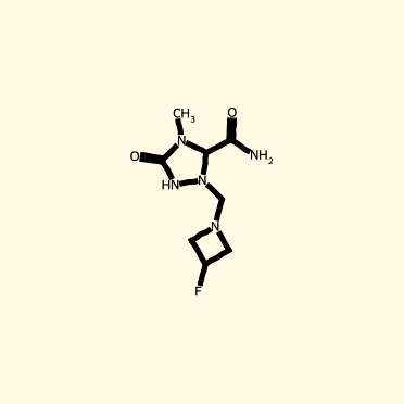 CN1C(=O)NN(CN2CC(F)C2)C1C(N)=O